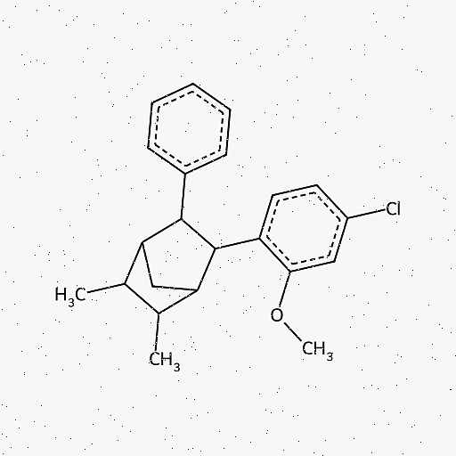 COc1cc(Cl)ccc1C1C2CC(C(C)C2C)C1c1ccccc1